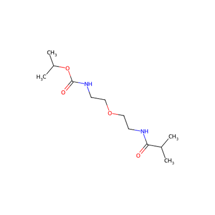 CC(C)OC(=O)NCCOCCNC(=O)C(C)C